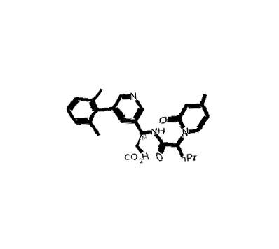 CCCC(C(=O)N[C@@H](CC(=O)O)c1cncc(-c2c(C)cccc2C)c1)n1ccc(C)cc1=O